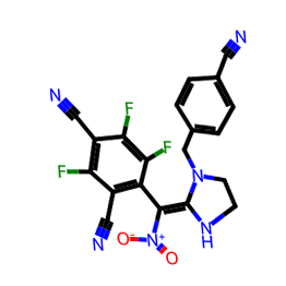 N#Cc1ccc(CN2CCN/C2=C(/c2c(F)c(F)c(C#N)c(F)c2C#N)[N+](=O)[O-])cc1